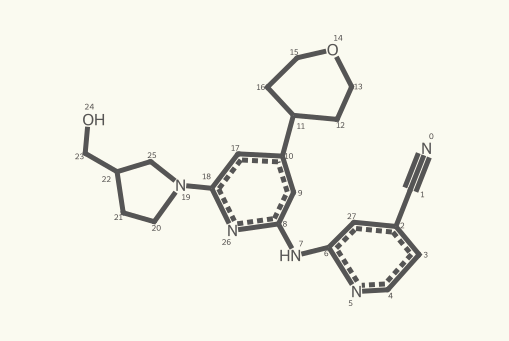 N#Cc1ccnc(Nc2cc(C3CCOCC3)cc(N3CCC(CO)C3)n2)c1